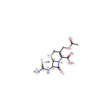 CC(=O)OCC1=C(C(=O)O)N2C(=O)C(NC(N)=S)[C@H]2SC1